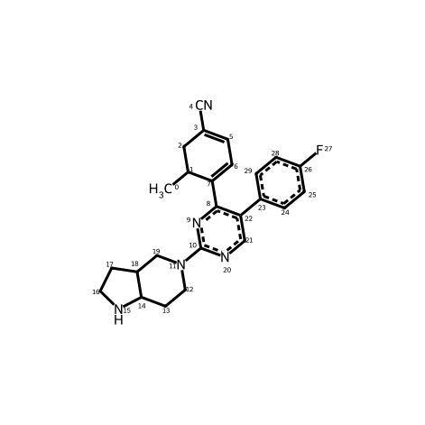 CC1CC(C#N)=CC=C1c1nc(N2CCC3NCCC3C2)ncc1-c1ccc(F)cc1